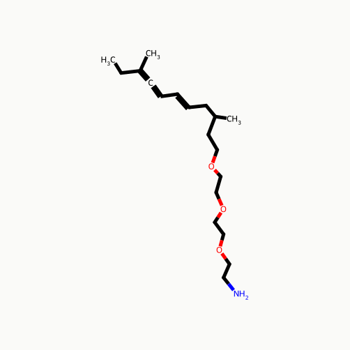 CCC(C)=C=C/C=C/CC(C)CCOCCOCCOCCN